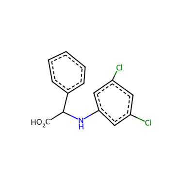 O=C(O)C(Nc1cc(Cl)cc(Cl)c1)c1ccccc1